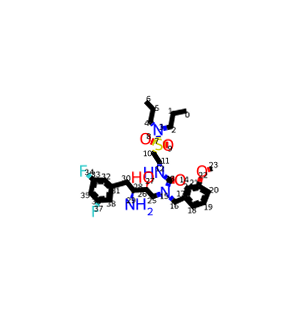 CCCN(CCC)S(=O)(=O)CCNC(=O)N(Cc1cccc(OC)c1)C[C@@H](O)[C@@H](N)Cc1cc(F)cc(F)c1